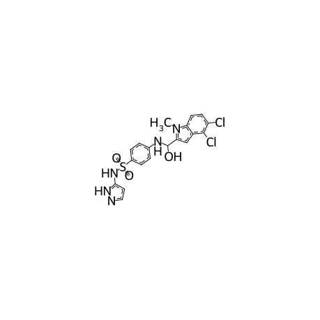 Cn1c(C(O)Nc2ccc(S(=O)(=O)Nc3ccn[nH]3)cc2)cc2c(Cl)c(Cl)ccc21